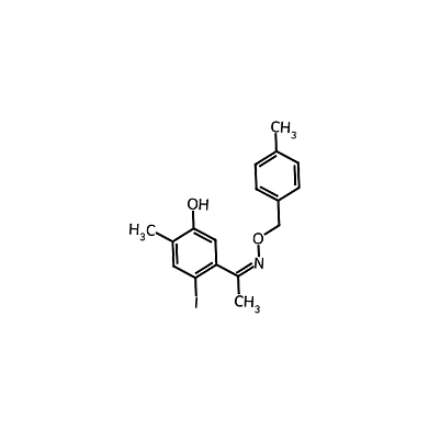 CC(=NOCc1ccc(C)cc1)c1cc(O)c(C)cc1I